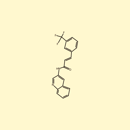 O=C(C=Cc1cccc(C(F)(F)F)c1)Nc1cnc2ccccc2c1